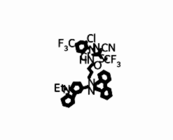 CCn1c2ccccc2c2cc(-c3nc4c5ccccc5c5ccccc5c4n3CCCC(=O)Nc3c(SC(F)(F)F)c(C#N)nn3-c3c(Cl)cc(C(F)(F)F)cc3Cl)ccc21